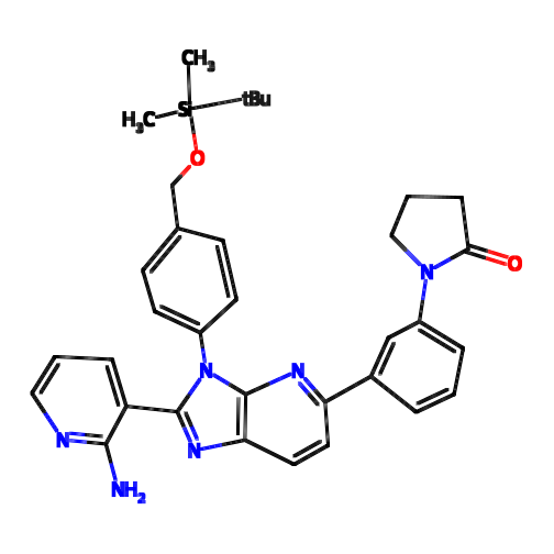 CC(C)(C)[Si](C)(C)OCc1ccc(-n2c(-c3cccnc3N)nc3ccc(-c4cccc(N5CCCC5=O)c4)nc32)cc1